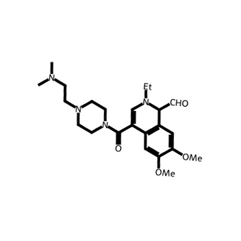 CCN1C=C(C(=O)N2CCN(CCN(C)C)CC2)c2cc(OC)c(OC)cc2C1C=O